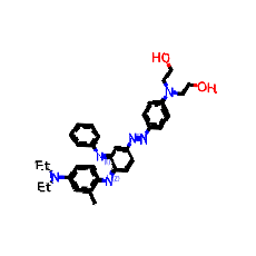 CCN(CC)c1ccc(/N=C2C=CC(/N=N/c3ccc(N(CCO)CCO)cc3)=CC/2=N\c2ccccc2)c(C)c1